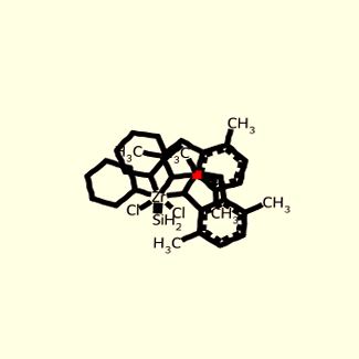 CC1=Cc2c(C)ccc(C)c2[CH]1[Zr](=[SiH2])([Cl])([Cl])([CH]1CCCCC1)([CH]1CCCCC1)[CH]1C(C)=Cc2c(C)ccc(C)c21